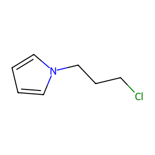 ClCCCn1cccc1